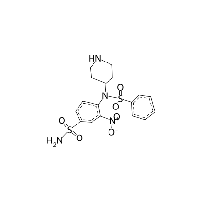 NS(=O)(=O)c1ccc(N(C2CCNCC2)S(=O)(=O)c2ccccc2)c([N+](=O)[O-])c1